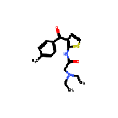 CCN(CC)CC(=O)Nc1sccc1C(=O)c1ccc(C)cc1